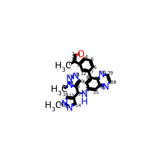 Cc1coc2ccc(-c3cc(N[C@@H](c4cnn(C)c4)c4cnnn4C)cc4nccnc34)cc12